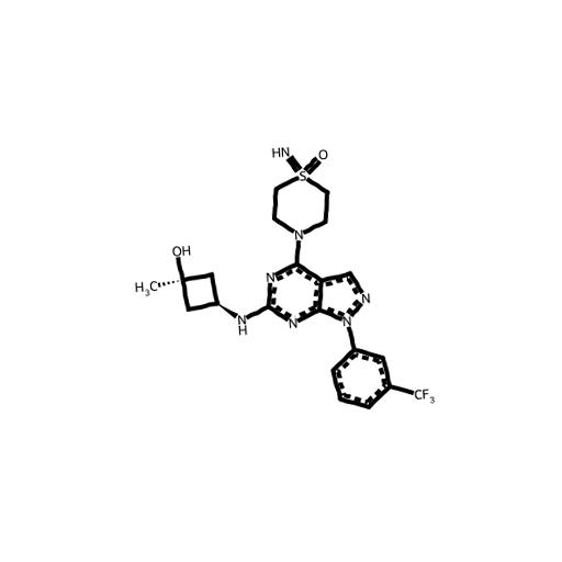 C[C@]1(O)C[C@@H](Nc2nc(N3CCS(=N)(=O)CC3)c3cnn(-c4cccc(C(F)(F)F)c4)c3n2)C1